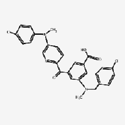 CN(Cc1ccc(Cl)cc1)c1cc(C(=O)O)cc(C(=O)c2ccc(N(C)c3ccc(Cl)cc3)cn2)c1